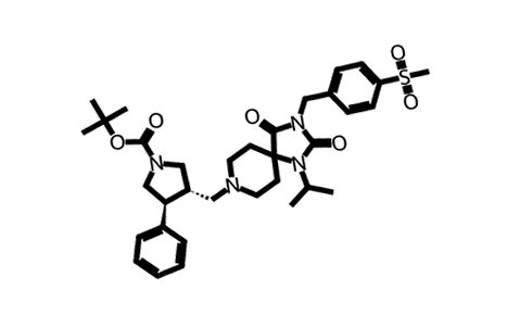 CC(C)N1C(=O)N(Cc2ccc(S(C)(=O)=O)cc2)C(=O)C12CCN(C[C@H]1CN(C(=O)OC(C)(C)C)C[C@@H]1c1ccccc1)CC2